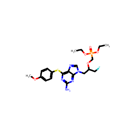 CCOP(=O)(COC(CF)Cn1cnc2c(Sc3ccc(OC)cc3)nc(N)nc21)OCC